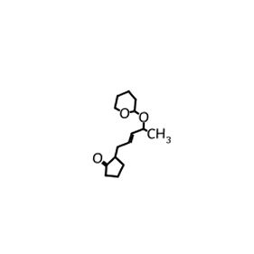 CC(C=CCC1CCCC1=O)OC1CCCCO1